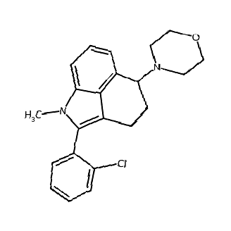 Cn1c(-c2ccccc2Cl)c2c3c(cccc31)C(N1CCOCC1)CC2